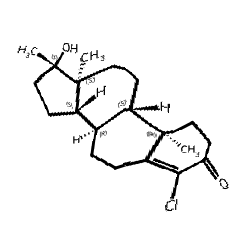 C[C@]12CCC(=O)C(Cl)=C1CC[C@@H]1[C@@H]2CC[C@@]2(C)[C@H]1CC[C@]2(C)O